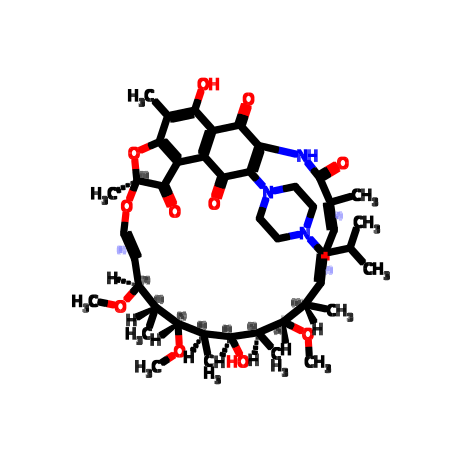 CO[C@H]1[C@H](C)[C@H](O)[C@H](C)[C@@H](OC)[C@@H](C)/C=C/C=C(/C)C(=O)NC2=C(N3CCN(CC(C)C)CC3)C(=O)c3c(c(O)c(C)c4c3C(=O)[C@@](C)(O/C=C/[C@H](OC)[C@H]1C)O4)C2=O